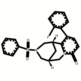 O=c1ccc(-c2ccccc2F)c2n1C[C@H]1C[C@@H]2CN(S(=O)(=O)c2ccccc2)C1